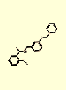 CCOc1ccccc1C(C)NCc1cccc(OCc2ccccc2)c1